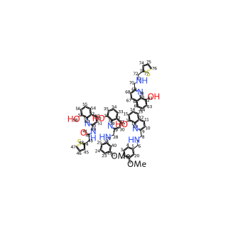 COc1cccc(CNCc2ccc3cccc(O)c3n2)c1.COc1cccc(NCc2ccc3cccc(O)c3n2)c1.O=C(Cc1cccs1)Nc1ccc2cccc(O)c2n1.Oc1cccc2ccc(CNCc3cccs3)nc12